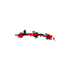 CN1Cc2c(N)cc(Cl)cc2C(c2cccc(NC(=O)NCCOCCOCCOCCNC(=O)C(O)C(O)C(=O)NCCOCCOCCOCCNC(=O)Nc3cccc(C4CN(C)Cc5c(Cl)cc(Cl)cc54)c3)c2)C1